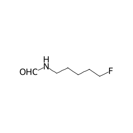 O=CNCCCCCF